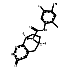 N#Cc1cc(F)c(NC(=O)N2[C@H]3CC[C@@H]2c2n[nH]c(=O)cc2C3)cc1Cl